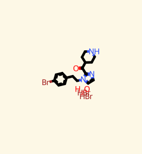 Br.Br.O.O=C(c1nccn1CCc1ccc(Br)cc1)C1CCNCC1